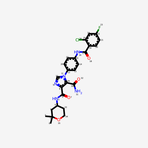 CC1(C)CC(NC(=O)c2ncn(-c3ccc(NC(=O)c4ccc(F)cc4Cl)cc3)c2C(N)=O)CCO1